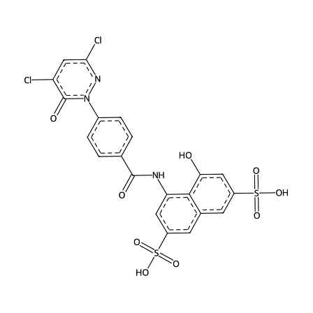 O=C(Nc1cc(S(=O)(=O)O)cc2cc(S(=O)(=O)O)cc(O)c12)c1ccc(-n2nc(Cl)cc(Cl)c2=O)cc1